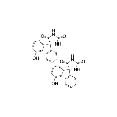 O=C1NC(=O)C(c2ccccc2)(c2cccc(O)c2)N1.O=C1NC(=O)C(c2ccccc2)(c2cccc(O)c2)N1